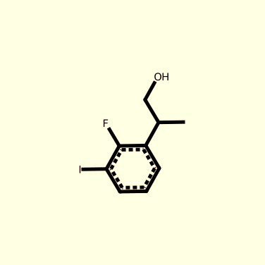 C[C](CO)c1cccc(I)c1F